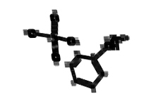 O=S(=O)([O-])[O-].Oc1ccccc1.[Zn+2]